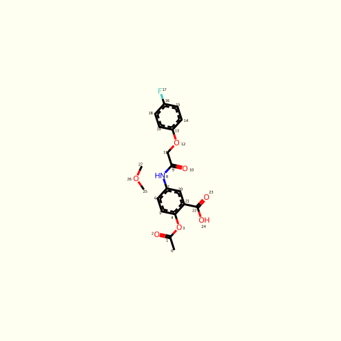 CC(=O)Oc1ccc(NC(=O)COc2ccc(F)cc2)cc1C(=O)O.COC